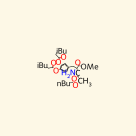 CCCCC(=O)OC(C)C[C@@](N)(Cc1ccc(OC(=O)CC(C)CC)c(OC(=O)CC(C)CC)c1)C(=O)OC